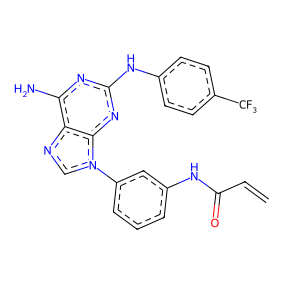 C=CC(=O)Nc1cccc(-n2cnc3c(N)nc(Nc4ccc(C(F)(F)F)cc4)nc32)c1